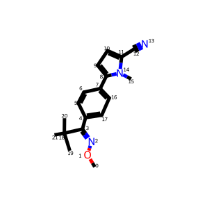 CON=C(c1ccc(-c2ccc(C#N)n2C)cc1)C(C)(C)C